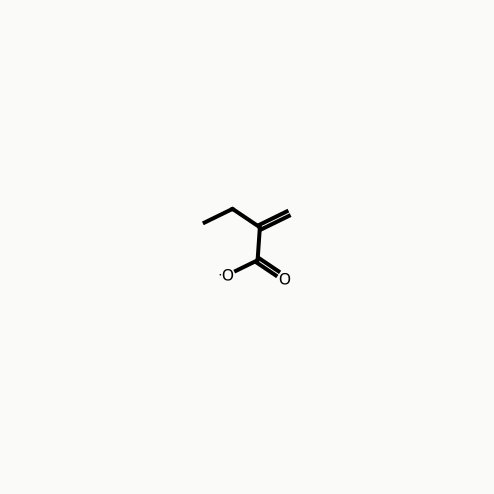 C=C(CC)C([O])=O